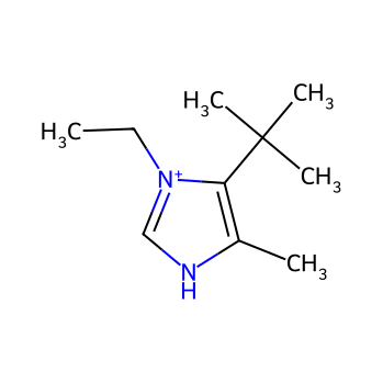 CC[n+]1c[nH]c(C)c1C(C)(C)C